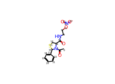 CC(=O)N1C(C(=O)NCCO[N+](=O)[O-])CSC1c1ccccc1